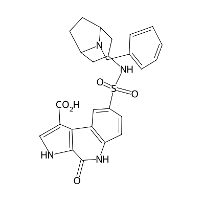 O=C(O)c1c[nH]c2c(=O)[nH]c3ccc(S(=O)(=O)NC4CC5CCC(C4)N5Cc4ccccc4)cc3c12